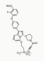 CC#CC(=O)N1CC[C@@H](c2nc(-c3ccc(Oc4cccc(OC)c4F)cc3)c3cncc(OCCN(C)C)n23)C1